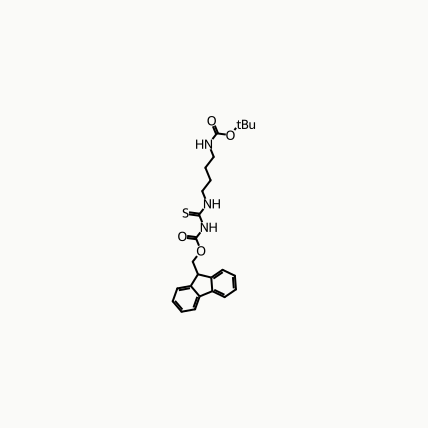 CC(C)(C)OC(=O)NCCCCNC(=S)NC(=O)OCC1c2ccccc2-c2ccccc21